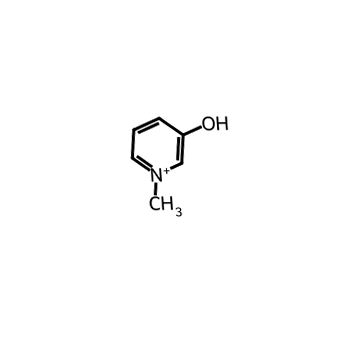 C[n+]1cccc(O)c1